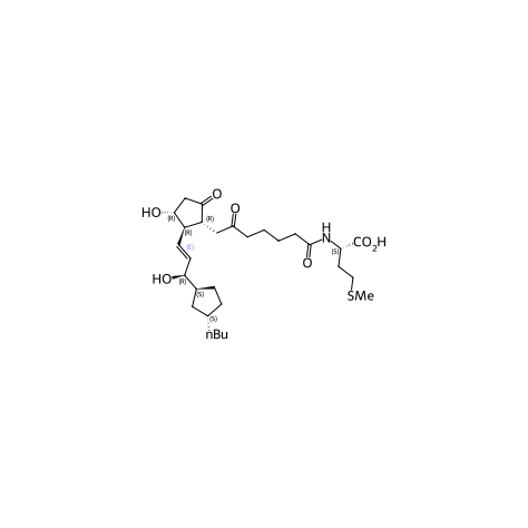 CCCC[C@H]1CC[C@H]([C@@H](O)/C=C/[C@H]2[C@H](O)CC(=O)[C@@H]2CC(=O)CCCCC(=O)N[C@@H](CCSC)C(=O)O)C1